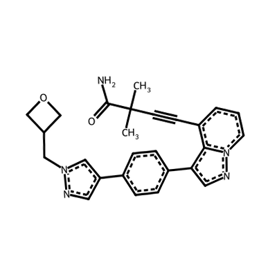 CC(C)(C#Cc1cccn2ncc(-c3ccc(-c4cnn(CC5COC5)c4)cc3)c12)C(N)=O